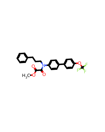 COC(=O)C(=O)N(CCCc1ccccc1)c1ccc(-c2ccc(OC(F)(F)F)cc2)cc1